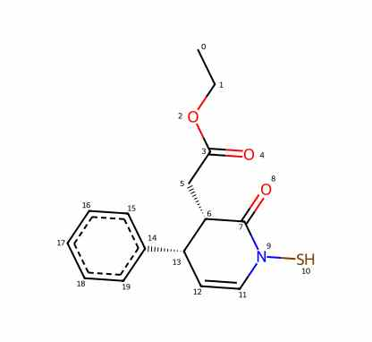 CCOC(=O)C[C@@H]1C(=O)N(S)C=C[C@@H]1c1ccccc1